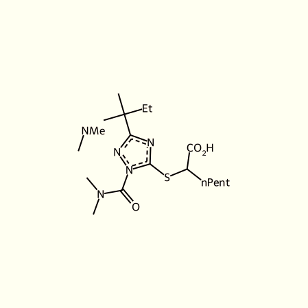 CCCCCC(Sc1nc(C(C)(C)CC)nn1C(=O)N(C)C)C(=O)O.CNC